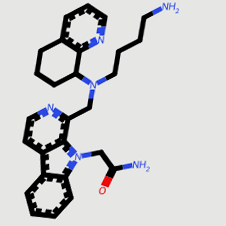 NCCCCN(Cc1nccc2c3ccccc3n(CC(N)=O)c12)C1CCCc2cccnc21